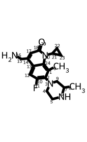 Cc1c(N2CCNC(C)C2)c(F)cc2c(CN)cc(=O)n(C3CC3)c12